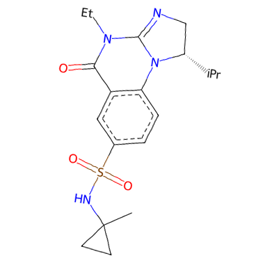 CCN1C(=O)c2cc(S(=O)(=O)NC3(C)CC3)ccc2N2C1=NC[C@@H]2C(C)C